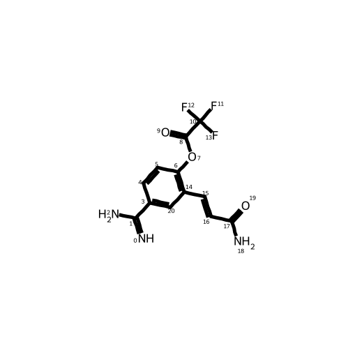 N=C(N)c1ccc(OC(=O)C(F)(F)F)c(C=CC(N)=O)c1